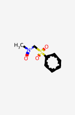 C[N+](=O)[CH]S(=O)(=O)c1ccccc1